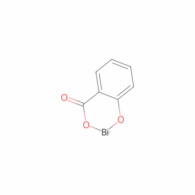 O=C1[O][Bi][O]c2ccccc21